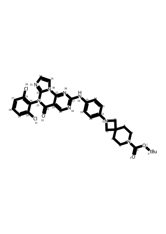 CC(C)(C)OC(=O)N1CCC2(CC1)CN(c1ccc(Nc3ncc4c(=O)n(-c5c(Cl)cccc5Cl)c5nccn5c4n3)cc1)C2